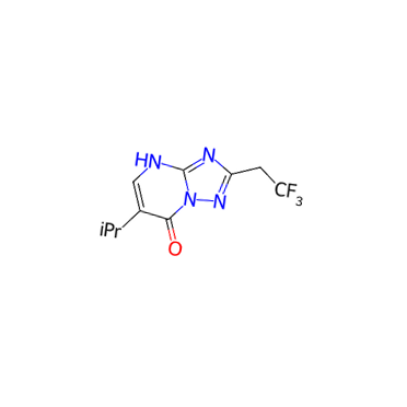 CC(C)c1c[nH]c2nc(CC(F)(F)F)nn2c1=O